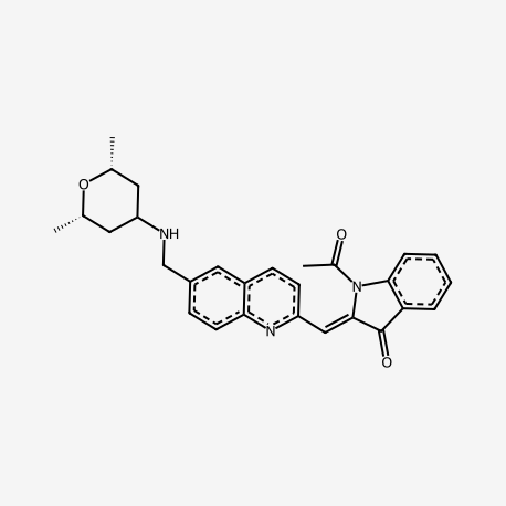 CC(=O)N1/C(=C\c2ccc3cc(CNC4C[C@@H](C)O[C@@H](C)C4)ccc3n2)C(=O)c2ccccc21